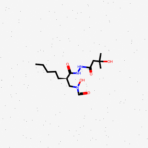 CCCCC[C@H](CN(O)C=O)C(=O)NNC(=O)CC(C)(C)O